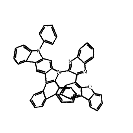 c1ccc(-n2c3ccccc3c3cc4c5c6ccccc6c6ccccc6c5n(-c5nc6ccccc6nc5-c5cccc6c5oc5ccccc56)c4cc32)cc1